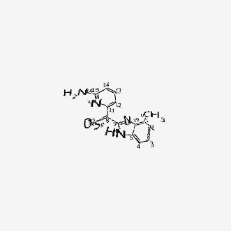 Cc1cccc2[nH]c(C(=S=O)c3cccc(N)n3)nc12